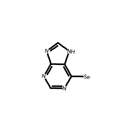 [Se]c1ncnc2nc[nH]c12